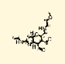 CCNC1=N[C@@H]2[C@H](C=O)[C@H](C=O)[C@H](CNCCOC)O[C@@H]2S1